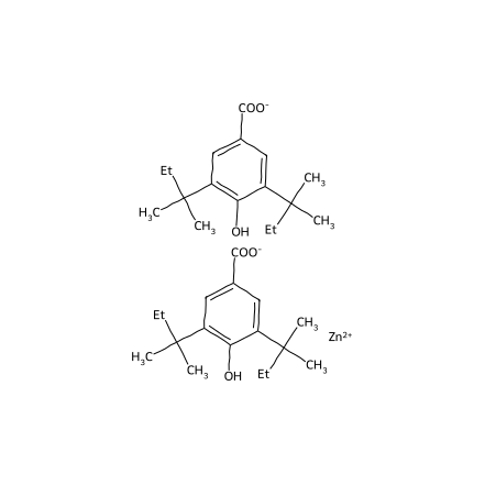 CCC(C)(C)c1cc(C(=O)[O-])cc(C(C)(C)CC)c1O.CCC(C)(C)c1cc(C(=O)[O-])cc(C(C)(C)CC)c1O.[Zn+2]